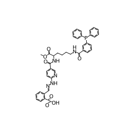 COC(=O)C(CCCCNC(=O)c1cccc(P(c2ccccc2)c2ccccc2)c1)NC(=O)c1ccc(NN=Cc2ccccc2S(=O)(=O)O)nc1